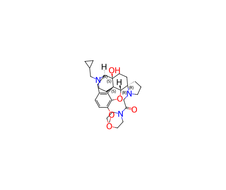 COc1ccc2c3c1O[C@H]1[C@@]4(CCCN4CC(=O)N4CCOCC4)CC[C@@]4(O)[C@@H](C2)N(CC2CC2)CC[C@]314